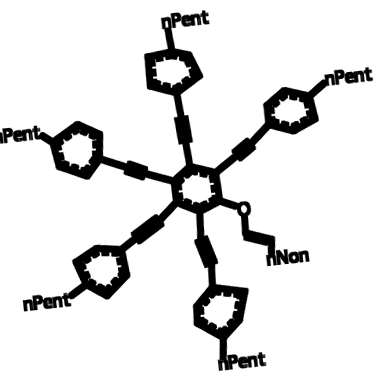 CCCCCCCCC/C=C/Oc1c(C#Cc2ccc(CCCCC)cc2)c(C#Cc2ccc(CCCCC)cc2)c(C#Cc2ccc(CCCCC)cc2)c(C#Cc2ccc(CCCCC)cc2)c1C#Cc1ccc(CCCCC)cc1